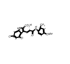 COc1ccc(NC(=O)C=Cc2c(C(=O)O)[nH]c3cc(Cl)cc(Cl)c23)c(C)c1